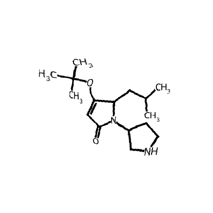 CC(C)CC1C(OC(C)(C)C)=CC(=O)N1C1CCNC1